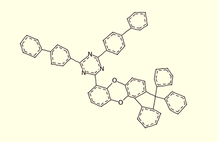 c1ccc(-c2ccc(-c3nc(-c4ccc(-c5ccccc5)cc4)nc(-c4cccc5c4Oc4ccc6c(c4O5)-c4ccccc4C6(c4ccccc4)c4ccccc4)n3)cc2)cc1